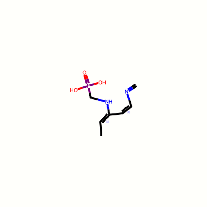 C=N/C=C\C(=C/C)NCP(=O)(O)O